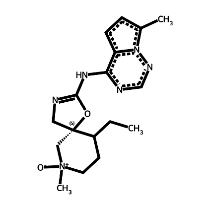 CCC1CC[N+](C)([O-])C[C@@]12CN=C(Nc1ncnn3c(C)ccc13)O2